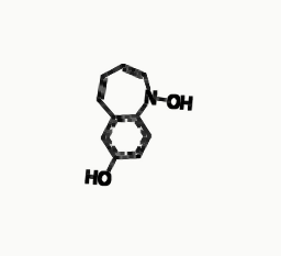 Oc1ccc2c(c1)C=CC=CN2O